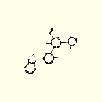 C=Cc1cc(-c2ccsc2C)cc(-c2cc(-n3nnc4ccccc43)ccc2C)c1O